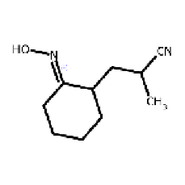 CC(C#N)CC1CCCC/C1=N\O